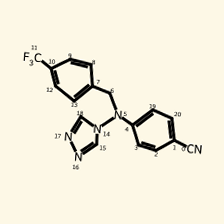 N#Cc1ccc(N(Cc2ccc(C(F)(F)F)cc2)n2cnnc2)cc1